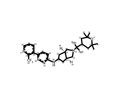 [2H]C([2H])(C1CC(C)(C)OC(C)(C)C1)N1C[C@H]2CC(Nc3ccc(-c4cccnc4C(F)(F)F)nn3)C[C@H]2C1